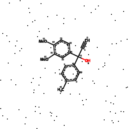 C#CC(O)(c1ccc(C)cc1)c1ccc(OC)c(OC)c1